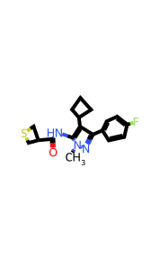 Cn1nc(-c2ccc(F)cc2)c(C2CCC2)c1NC(=O)C1CSC1